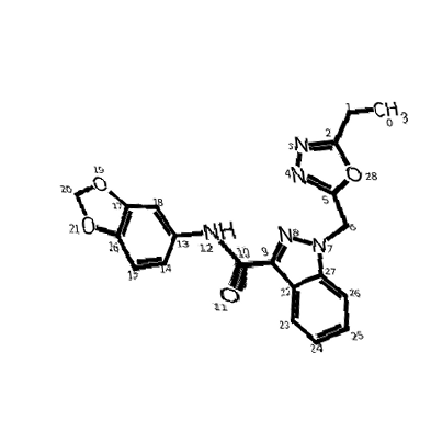 CCc1nnc(Cn2nc(C(=O)Nc3ccc4c(c3)OCO4)c3ccccc32)o1